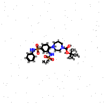 CC(C)(C)OC(=O)N1CCCN(c2ccc(S(=O)(=O)Nc3ccccc3)cc2NS(C)(=O)=O)CC1